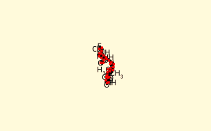 CC1CN(CC2CCN(C/C=C/C(=O)Nc3cc4c(Nc5ccc(F)c(Cl)c5)ncnc4cc3O[C@H]3CCOC3)CC2)CC(C)N1c1ccc2c(c1)C(=O)N(C1CCC(=O)NC1=O)C2=O